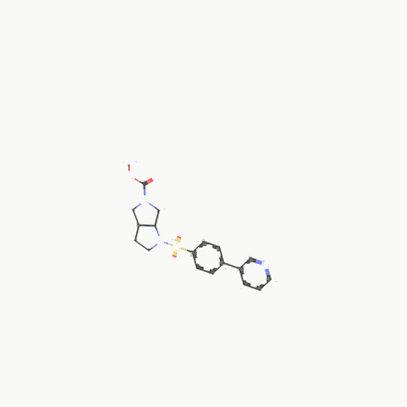 CC(C)(C)OC(=O)N1CC2CCN(S(=O)(=O)c3ccc(-c4cccnc4)cc3)C2C1